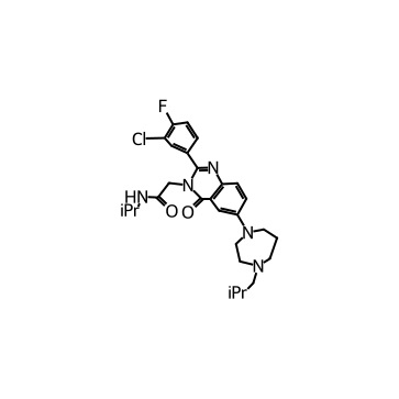 CC(C)CN1CCCN(c2ccc3nc(-c4ccc(F)c(Cl)c4)n(CC(=O)NC(C)C)c(=O)c3c2)CC1